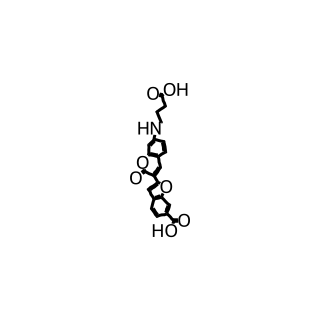 O=C(O)CCCNc1ccc2cc(-c3cc4ccc(C(=O)O)cc4o3)c(=O)oc2c1